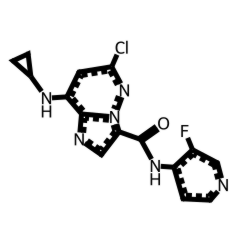 O=C(Nc1ccncc1F)c1cnc2c(NC3CC3)cc(Cl)nn12